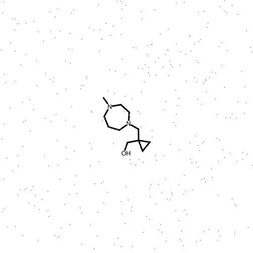 CN1CCCN(CC2(CO)CC2)CC1